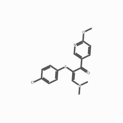 COc1ccc(C(=O)C(=CN(C)C)Sc2ccc(Cl)cc2)cn1